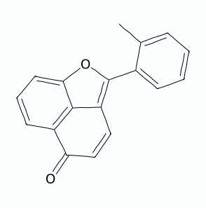 Cc1ccccc1-c1oc2cccc3c2c1C=CC3=O